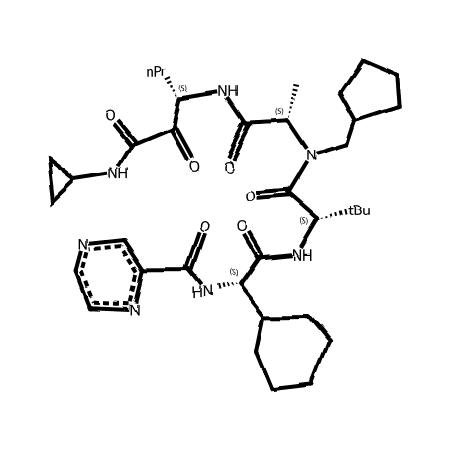 CCC[C@H](NC(=O)[C@H](C)N(CC1CCCC1)C(=O)[C@@H](NC(=O)[C@@H](NC(=O)c1cnccn1)C1CCCCC1)C(C)(C)C)C(=O)C(=O)NC1CC1